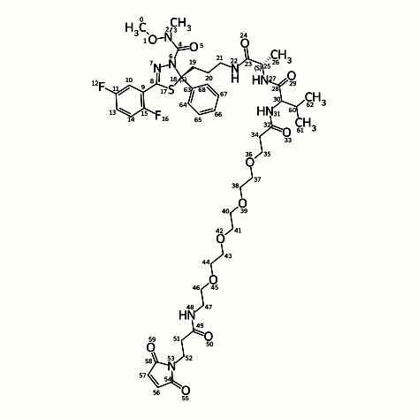 CON(C)C(=O)N1N=C(c2cc(F)ccc2F)S[C@@]1(CCCNC(=O)[C@H](C)NC(=O)C(NC(=O)CCOCCOCCOCCOCCNC(=O)CCN1C(=O)C=CC1=O)C(C)C)c1ccccc1